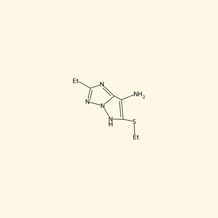 CCSc1[nH]n2nc(CC)nc2c1N